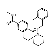 CNC(=O)c1ccc2c(c1)CCC1(CCCCN1CCc1ccccc1C)C2=O